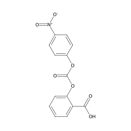 O=C(Oc1ccc([N+](=O)[O-])cc1)Oc1ccccc1C(=O)O